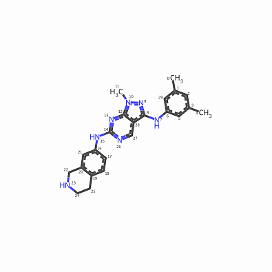 Cc1cc(C)cc(Nc2nn(C)c3nc(Nc4ccc5c(c4)CNCC5)ncc23)c1